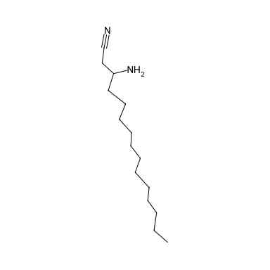 CCCCCCCCCCCCC(N)CC#N